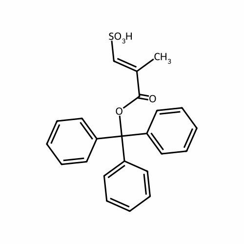 CC(=CS(=O)(=O)O)C(=O)OC(c1ccccc1)(c1ccccc1)c1ccccc1